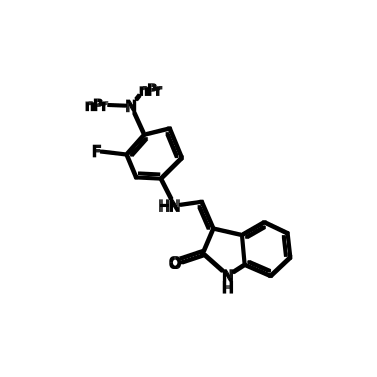 CCCN(CCC)c1ccc(NC=C2C(=O)Nc3ccccc32)cc1F